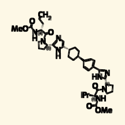 C=CC[C@@H](NC(=O)OC)C(=O)N1CCC[C@H]1c1ncc([C@H]2CC[C@H](c3ccc(-c4cnc([C@@H]5CCCN5C(=O)[C@@H](NC(=O)OC)C(C)C)[nH]4)cc3)CC2)[nH]1